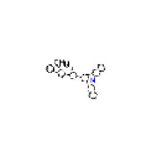 CC1(C)c2ccccc2-c2ccc(-c3ccc(C4CC5c6cc7ccccc7cc6N6c7cc8ccccc8cc7C(C4)C56)cc3)cc21